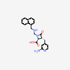 Nc1cc(C[C@H]2C(=O)N(CNCc3cccc4ccccc34)[C@@H]2C(=O)O)ccn1